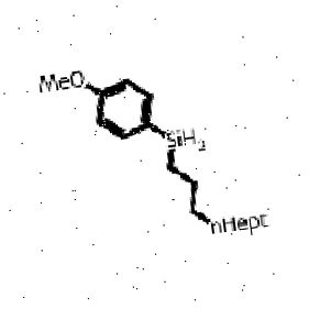 CCCCCCCCCC[SiH2]c1ccc(OC)cc1